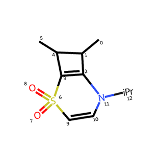 CC1C2=C(C1C)S(=O)(=O)C=CN2C(C)C